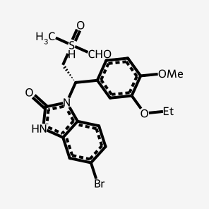 CCOc1cc([C@@H](C[SH](C)(=O)C=O)n2c(=O)[nH]c3cc(Br)ccc32)ccc1OC